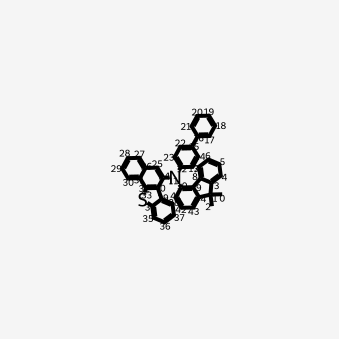 CC1(C)c2ccccc2-c2c(N(c3ccc(-c4ccccc4)cc3)c3cc4ccccc4c4sc5ccccc5c34)cccc21